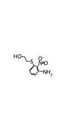 Nc1cccc(SCCO)c1[N+](=O)[O-]